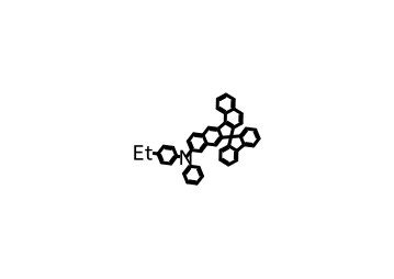 CCc1ccc(N(c2ccccc2)c2ccc3cc4c(cc3c2)C2(c3ccccc3-c3ccccc32)c2ccc3ccccc3c2-4)cc1